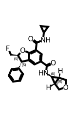 O=C(N[C@H]1[C@@H]2COC[C@@H]21)c1cc(C(=O)NC2CC2)c2c(c1)[C@H](c1ccccc1)[C@@H](CF)O2